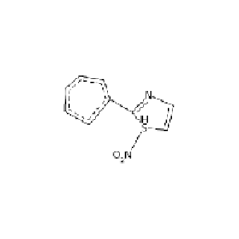 O=[N+]([O-])[SH]1C=CN=C1c1ccccc1